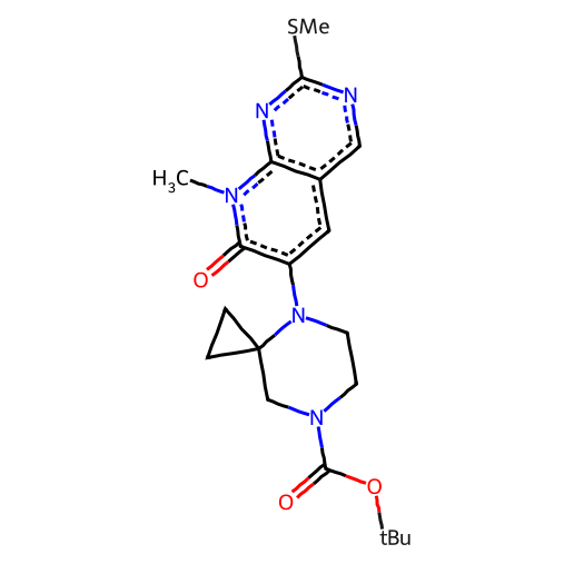 CSc1ncc2cc(N3CCN(C(=O)OC(C)(C)C)CC34CC4)c(=O)n(C)c2n1